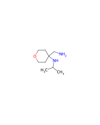 CC(C)NC1(CN)CCOCC1